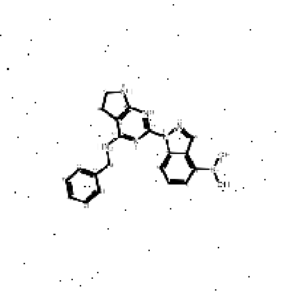 OB(O)c1cccc2c1cnn2-c1nc2c(c(NCc3ccccc3)n1)CCN2